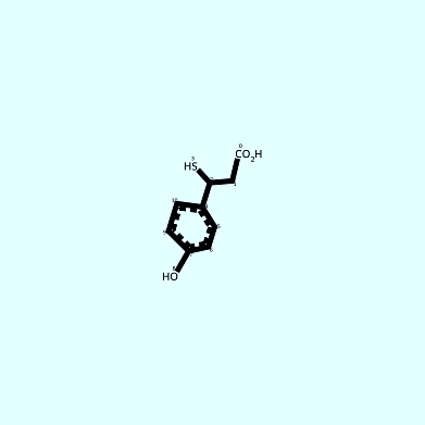 O=C(O)CC(S)c1ccc(O)cc1